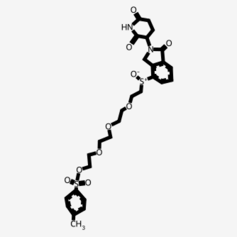 Cc1ccc(S(=O)(=O)OCCOCCOCCOCC[S+]([O-])c2cccc3c2CN(C2CCC(=O)NC2=O)C3=O)cc1